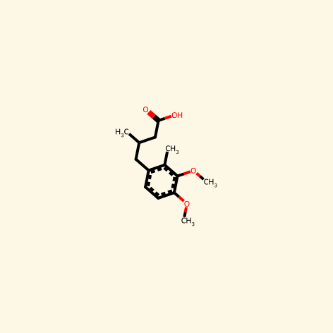 COc1ccc(CC(C)CC(=O)O)c(C)c1OC